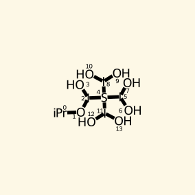 CC(C)OI(O)S(I(O)O)(I(O)O)I(O)O